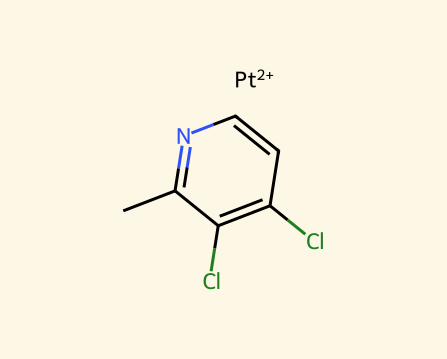 Cc1nccc(Cl)c1Cl.[Pt+2]